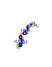 CC(C)N1CCC(C(=O)Nc2cc(Oc3ccc4c(c3)nc(Nc3ccc(C(F)(F)F)cc3)n4C)ccn2)C1